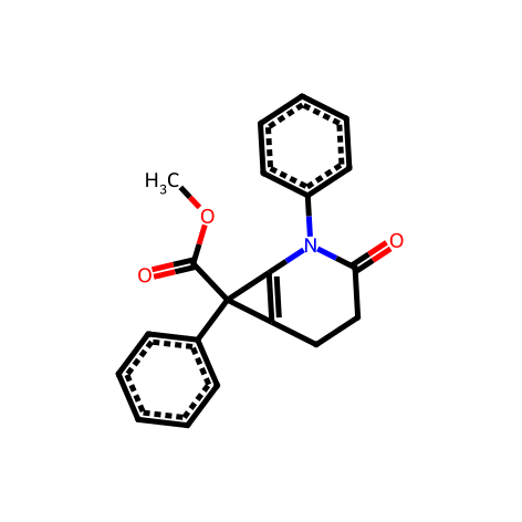 COC(=O)C1(c2ccccc2)C2=C1N(c1ccccc1)C(=O)CC2